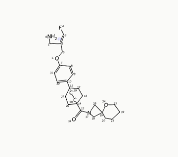 NC/C(=C\F)COc1ccc(C23CCC(C(=O)N4CC5(CCCCO5)C4)(CC2)CC3)cc1